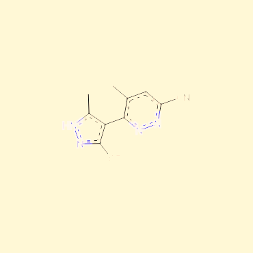 Cc1cc(C#N)nnc1-c1c(C(F)(F)F)n[nH]c1C